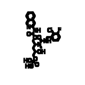 CN(C(=O)NCc1cccc(F)c1Cl)C(COC(=O)Nc1cc2ccccc2cn1)CC(O)COP(=O)(O)O